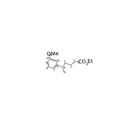 CCOC(=O)CCCC(C)c1cccc(OC)c1